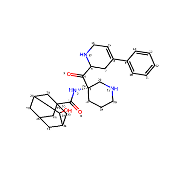 O=C(N[C@@]1(C(=O)C2CC(c3ccccc3)=CCN2)CCCNC1)C12CC3CC(C1)C(O)C(C3)C2